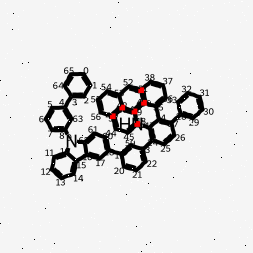 c1ccc(-c2cccc(-n3c4ccccc4c4cc(-c5cccc(-c6ccc(-c7ccccc7)c(-c7ccccc7-c7ccccc7)c6Nc6cccc7ccccc67)c5)ccc43)c2)cc1